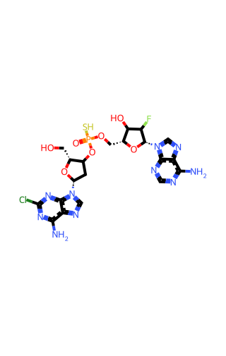 Nc1ncnc2c1ncn2[C@@H]1O[C@H](COP(=O)(S)OC2C[C@H](n3cnc4c(N)nc(Cl)nc43)O[C@@H]2CO)C(O)C1F